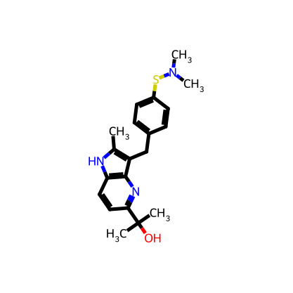 Cc1[nH]c2ccc(C(C)(C)O)nc2c1Cc1ccc(SN(C)C)cc1